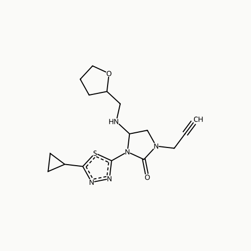 C#CCN1CC(NCC2CCCO2)N(c2nnc(C3CC3)s2)C1=O